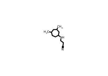 CC1CCC(NCCC#N)CC(C)C1